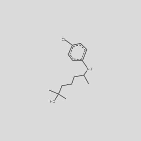 CC(CCCC(C)(C)O)Nc1ccc(Cl)cc1